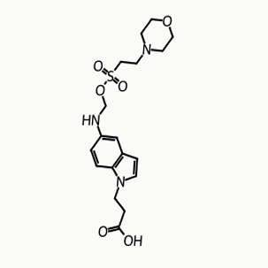 O=C(O)CCn1ccc2cc(NCOS(=O)(=O)CCN3CCOCC3)ccc21